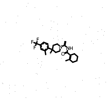 C=C(NC(=O)C1=C(C)CCCC1)N1CCC(C)(c2ccc(C(F)(F)F)cc2C)CC1